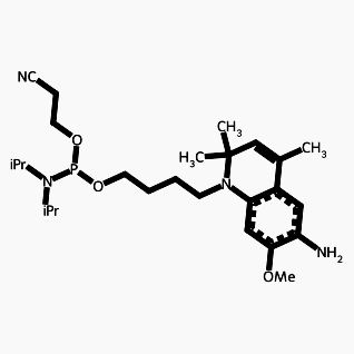 COc1cc2c(cc1N)C(C)=CC(C)(C)N2CCCCOP(OCCC#N)N(C(C)C)C(C)C